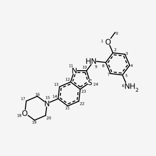 COc1ccc(N)cc1Nc1nc2cc(N3CCOCC3)ccc2s1